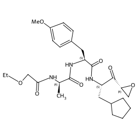 CCOCC(=O)N[C@H](C)C(=O)N[C@@H](Cc1ccc(OC)cc1)C(=O)N[C@@H](CC1CCCC1)C(=O)[C@H]1CO1